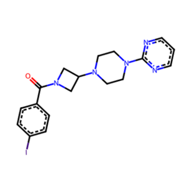 O=C(c1ccc(I)cc1)N1CC(N2CCN(c3ncccn3)CC2)C1